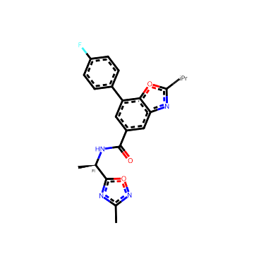 Cc1noc([C@@H](C)NC(=O)c2cc(-c3ccc(F)cc3)c3oc(C(C)C)nc3c2)n1